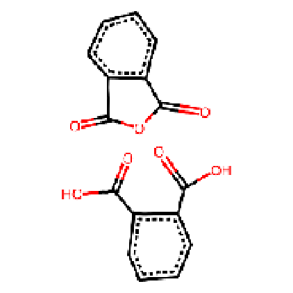 O=C(O)c1ccccc1C(=O)O.O=C1OC(=O)c2ccccc21